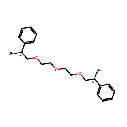 CC(C)[C@H](COCCOCCOC[C@H](c1ccccc1)C(C)C)c1ccccc1